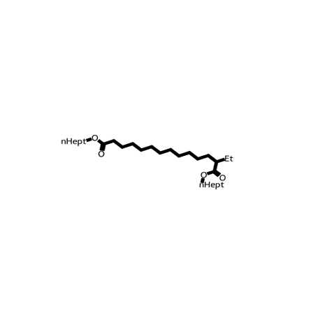 CCCCCCCOC(=O)CCCCCCCCCCCC(CC)C(=O)OCCCCCCC